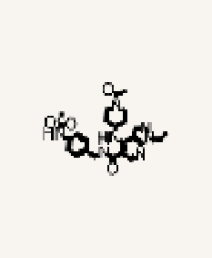 CCn1ncc2c(NC3CCN(C(C)=O)CC3)c(C(=O)NCc3ccc(NS(C)(=O)=O)cc3)cnc21